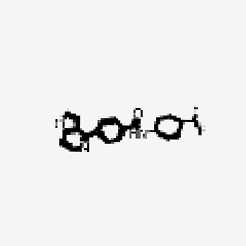 O=C(N[C@H]1CC[C@H](C(F)F)CC1)c1ccc(-c2nccc3occc23)cc1